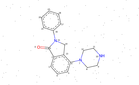 O=C1c2cccc(N3CCNCC3)c2CN1c1ccccc1